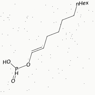 CCCCCCCCCCC=CO[PH](=O)O